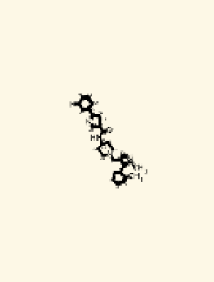 Cc1ccccc1-c1c(CN2CCC(NC(=O)c3ccc(-c4cccc(F)c4)nc3)CC2)cnn1C